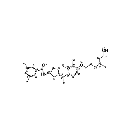 Cc1cc(C)cc(C(=O)N[C@@H]2CCN(C(C)c3ccc(OCCCN(C)CCO)c(C)c3C)C2)c1